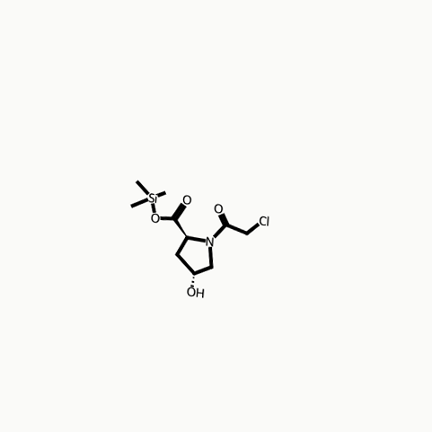 C[Si](C)(C)OC(=O)[C@@H]1C[C@@H](O)CN1C(=O)CCl